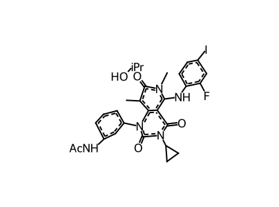 CC(=O)Nc1cccc(-n2c(=O)n(C3CC3)c(=O)c3c(Nc4ccc(I)cc4F)n(C)c(=O)c(C)c32)c1.CC(C)O